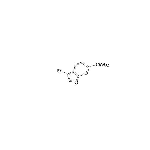 CCc1coc2cc(OC)ccc12